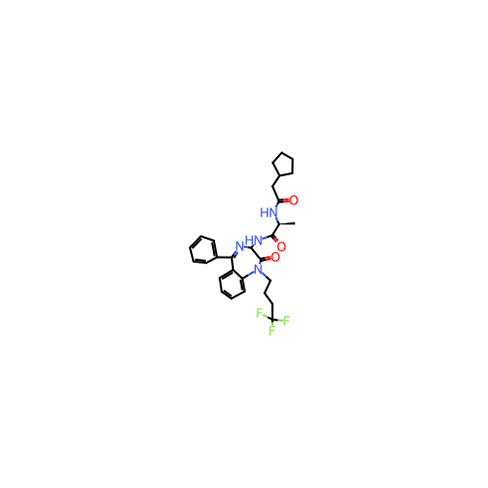 C[C@H](NC(=O)CC1CCCC1)C(=O)NC1N=C(c2ccccc2)c2ccccc2N(CCCC(F)(F)F)C1=O